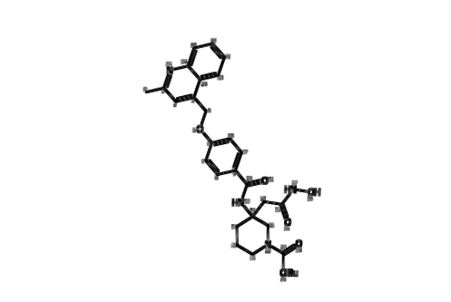 Cc1cc(COc2ccc(C(=O)NC3(CC(=O)NO)CCCN(C(=O)OCC(C)C)C3)cc2)c2ccccc2n1